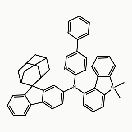 C[Si]1(C)c2ccccc2-c2c(N(c3ccc4c(c3)C3(c5ccccc5-4)C4CC5CC(C4)CC3C5)c3ccc(-c4ccccc4)cn3)cccc21